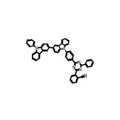 N#Cc1ccccc1-c1nc(-c2ccccc2)nc(-c2ccc(-n3c4ccccc4c4cc(-c5ccc6c(c5)c5ccccc5n6-c5ccccc5)ccc43)cc2)n1